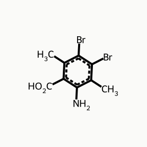 Cc1c(N)c(C(=O)O)c(C)c(Br)c1Br